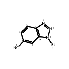 CCn1nnc2ccc(C#N)cc21